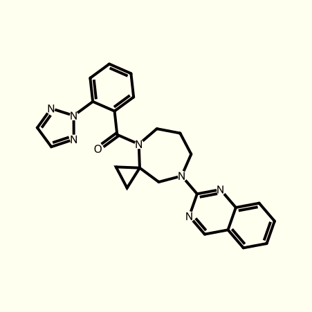 O=C(c1ccccc1-n1nccn1)N1CCCN(c2ncc3ccccc3n2)CC12CC2